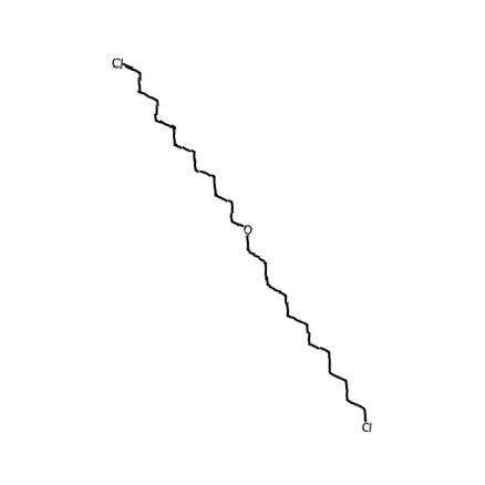 ClCCCCCCCCCCCCOCCCCCCCCCCCCCl